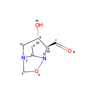 CC1N2CON1[C@H](C=O)[C@@H](O)C2